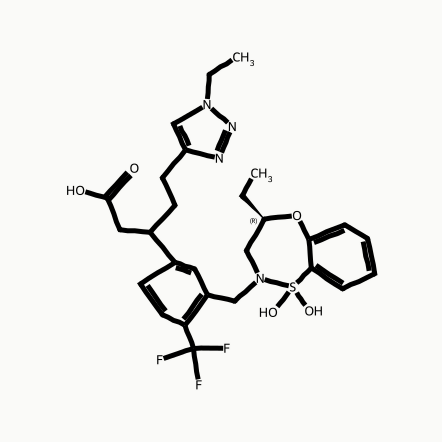 CC[C@@H]1CN(Cc2cc(C(CCc3cn(CC)nn3)CC(=O)O)ccc2C(F)(F)F)S(O)(O)c2ccccc2O1